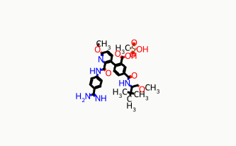 COCC(NC(=O)c1ccc(-c2ccc(OC)nc2C(=O)Nc2ccc(C(=N)N)cc2)c(C(=O)O)c1)C(C)(C)C.CS(=O)(=O)O